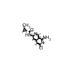 C[C@H]1C[C@H]1C(=O)Nc1cc2cc(Cl)nc(N)c2cn1